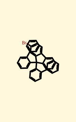 Brc1ccc2c(c1)C(c1ccccc1-c1ccccc1)(c1ccccc1-c1ccccc1)c1ccccc1-2